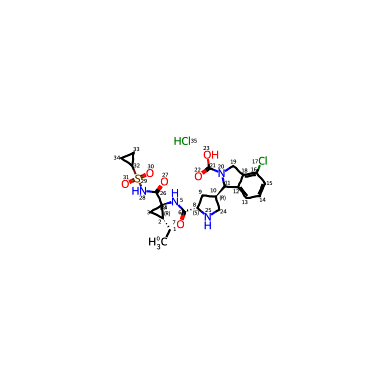 CC[C@@H]1C[C@]1(NC(=O)[C@@H]1C[C@@H](C2c3cccc(Cl)c3CN2C(=O)O)CN1)C(=O)NS(=O)(=O)C1CC1.Cl